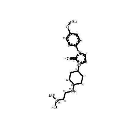 CCCCOc1ccc(-n2ccn(C3CCC(NCCN(CC)CC)CC3)c2=O)cc1